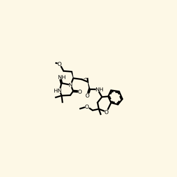 COCC[C@@H]([C@@H]1C[C@H]1C(=O)NC1CC(C)(COC)Oc2ccccc21)N1C(=N)NC(C)(C)CC1=O